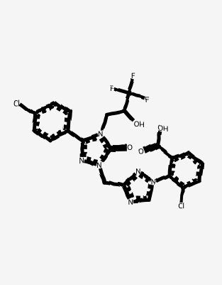 O=C(O)c1cccc(Cl)c1-n1cnc(Cn2nc(-c3ccc(Cl)cc3)n(CC(O)C(F)(F)F)c2=O)n1